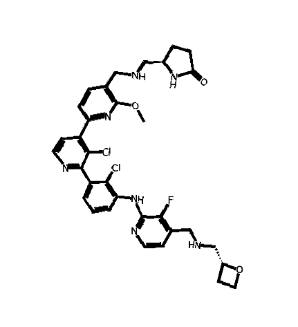 COc1nc(-c2ccnc(-c3cccc(Nc4nccc(CNC[C@H]5CCO5)c4F)c3Cl)c2Cl)ccc1CNC[C@H]1CCC(=O)N1